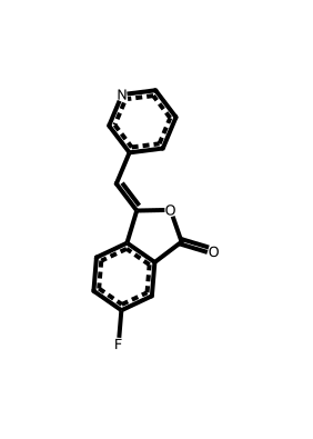 O=C1OC(=Cc2cccnc2)c2ccc(F)cc21